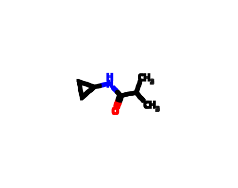 C[C](C)C(=O)NC1CC1